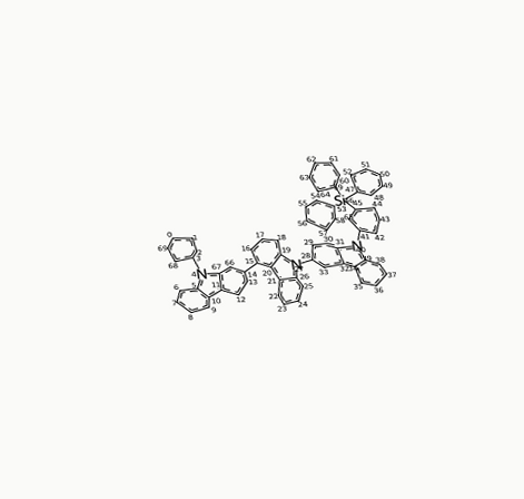 c1ccc(-n2c3ccccc3c3ccc(-c4cccc5c4c4ccccc4n5-c4ccc5c(c4)c4ccccc4n5-c4cccc([Si](c5ccccc5)(c5ccccc5)c5ccccc5)c4)cc32)cc1